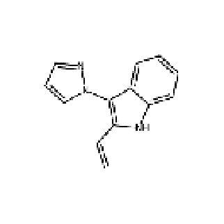 C=Cc1[nH]c2ccccc2c1-n1cccn1